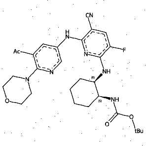 CC(=O)c1cc(Nc2nc(N[C@@H]3CCCC[C@@H]3NC(=O)OC(C)(C)C)c(F)cc2C#N)cnc1N1CCOCC1